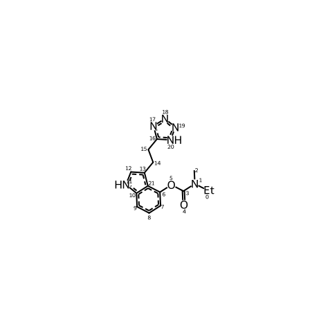 CCN(C)C(=O)Oc1cccc2[nH]cc(CCc3nnn[nH]3)c12